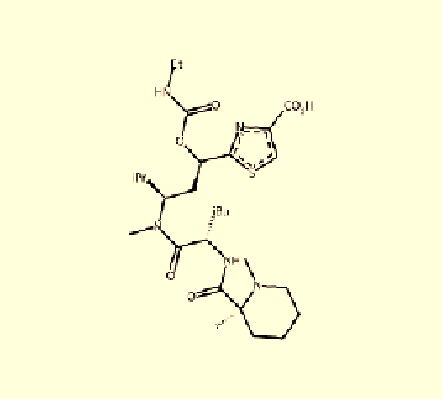 CCNC(=O)O[C@H](C[C@H](C(C)C)N(C)C(=O)[C@@H](NC(=O)[C@]1(C)CCCCN1C)C(C)CC)c1nc(C(=O)O)cs1